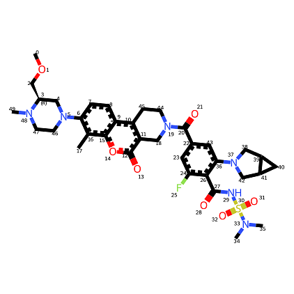 COC[C@H]1CN(c2ccc3c4c(c(=O)oc3c2C)CN(C(=O)c2cc(F)c(C(=O)NS(=O)(=O)N(C)C)c(N3CC5CC5C3)c2)CC4)CCN1C